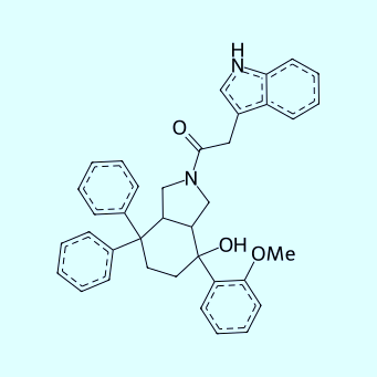 COc1ccccc1C1(O)CCC(c2ccccc2)(c2ccccc2)C2CN(C(=O)Cc3c[nH]c4ccccc34)CC21